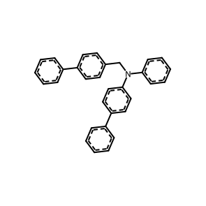 c1ccc(-c2ccc(CN(c3ccccc3)c3ccc(-c4ccccc4)cc3)cc2)cc1